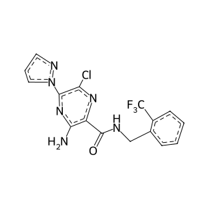 Nc1nc(-n2cccn2)c(Cl)nc1C(=O)NCc1ccccc1C(F)(F)F